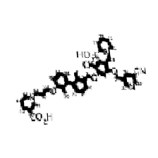 Cc1c(COc2cc(OCc3cncc(C#N)c3)c(CN3CCCC[C@H]3C(=O)O)cc2Cl)cccc1-c1cccc(OCCCN2CCCC(C(=O)O)C2)c1C